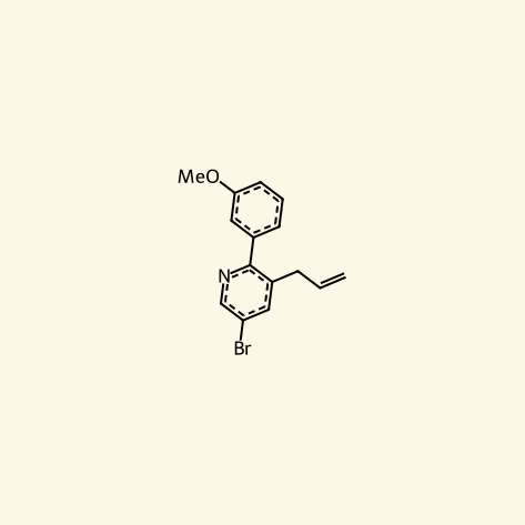 C=CCc1cc(Br)cnc1-c1cccc(OC)c1